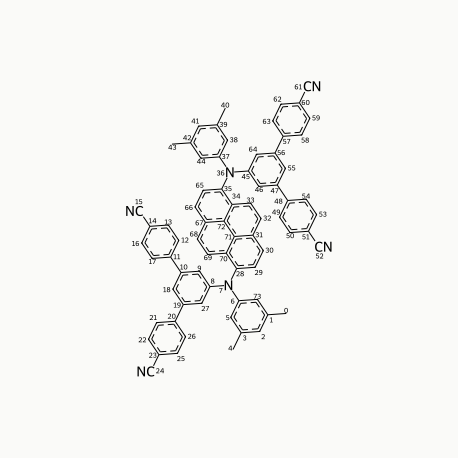 Cc1cc(C)cc(N(c2cc(-c3ccc(C#N)cc3)cc(-c3ccc(C#N)cc3)c2)c2ccc3ccc4c(N(c5cc(C)cc(C)c5)c5cc(-c6ccc(C#N)cc6)cc(-c6ccc(C#N)cc6)c5)ccc5ccc2c3c54)c1